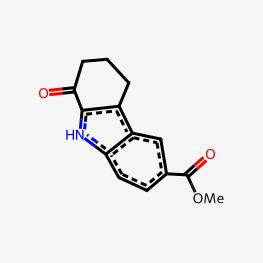 COC(=O)c1ccc2[nH]c3c(c2c1)CCCC3=O